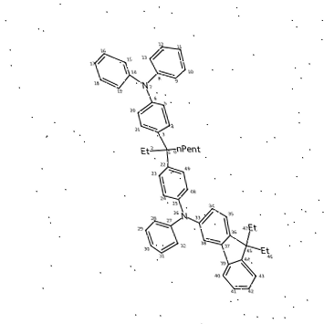 CCCCCC(CC)(c1ccc(N(c2ccccc2)c2ccccc2)cc1)c1ccc(N(c2ccccc2)c2ccc3c(c2)-c2ccccc2C3(CC)CC)cc1